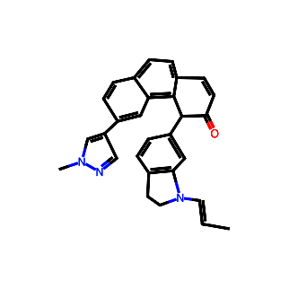 CC=CN1CCc2ccc(C3C(=O)C=Cc4ccc5ccc(-c6cnn(C)c6)cc5c43)cc21